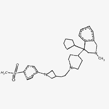 CN1Cc2ccccc2C(C2CCCC2)(C2CCN(CC3CN(c4ccc(S(C)(=O)=O)cc4)C3)CC2)C1